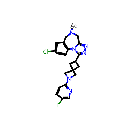 CC(=O)N1Cc2cc(Cl)ccc2-n2c(nnc2C2CC3(C2)CN(c2ccc(F)cn2)C3)C1